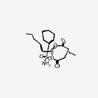 CCCC=CC(B1OC(=O)CN(C)CC(=O)O1)(C1=CCCCC1)S(N)(=O)=O